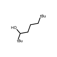 CC(C)(C)CCCC(O)C(C)(C)C